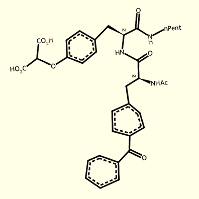 CCCCCNC(=O)[C@H](Cc1ccc(OC(C(=O)O)C(=O)O)cc1)NC(=O)[C@H](Cc1ccc(C(=O)c2ccccc2)cc1)NC(C)=O